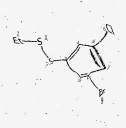 CCSSc1cc(Cl)cc(Br)c1